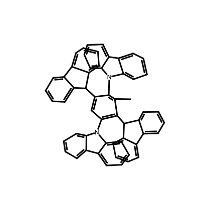 Cc1c(C2c3ccccc3-c3ccccc32)c(-n2c3ccccc3c3ccccc32)cc(C2c3ccccc3-c3ccccc32)c1-n1c2ccccc2c2ccccc21